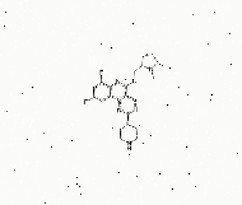 CN1CCCC1COc1nc2c(F)cc(F)cc2c2nc(N3CCNCC3)ncc12